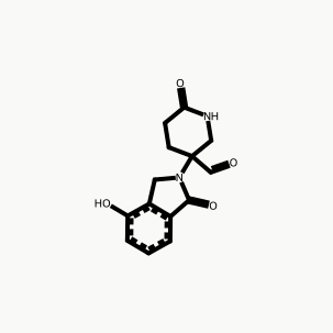 O=CC1(N2Cc3c(O)cccc3C2=O)CCC(=O)NC1